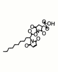 CCCCCCCCCC(C(=O)ON1C(=O)CC(S(=O)(=O)O)C1=O)N1C(=O)C=CC1=O